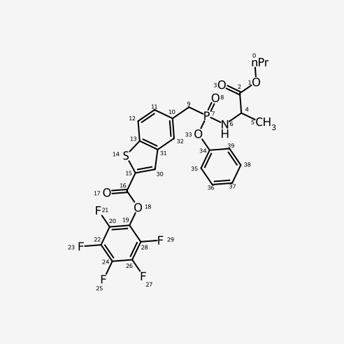 CCCOC(=O)C(C)NP(=O)(Cc1ccc2sc(C(=O)Oc3c(F)c(F)c(F)c(F)c3F)cc2c1)Oc1ccccc1